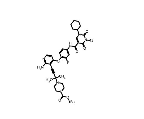 CCn1c(=O)c(C(=O)Nc2ccc(Oc3ccnc(N)c3C#CC(C)(C)N3CCN(C(=O)OC(C)(C)C)CC3)c(F)c2)cn(C2CCCCC2)c1=O